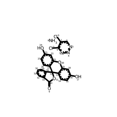 Clc1cnnnc1Cl.N.O=C1OC2(c3ccc(O)cc3Oc3cc(O)ccc32)c2ccccc21